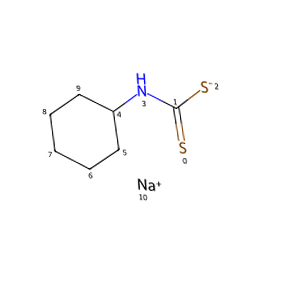 S=C([S-])NC1CCCCC1.[Na+]